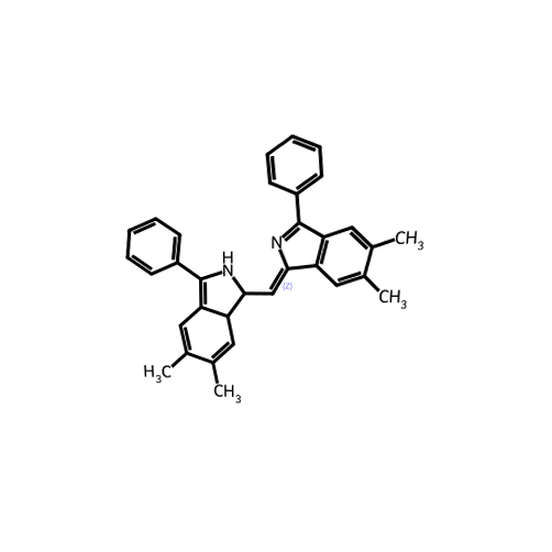 CC1=CC2=C(c3ccccc3)NC(/C=C3\N=C(c4ccccc4)c4cc(C)c(C)cc43)C2C=C1C